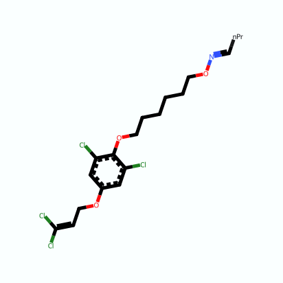 CCC/C=N/OCCCCCCOc1c(Cl)cc(OCC=C(Cl)Cl)cc1Cl